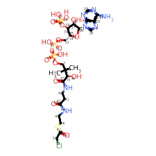 CC(C)(COP(=O)(O)OP(=O)(O)OC[C@H]1O[C@@H](n2cnc3c(N)ncnc32)[C@H](O)[C@@H]1OP(=O)(O)O)[C@@H](O)C(=O)NCCC(=O)NCCSC(=O)CCl